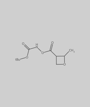 CC1OCC1C(=O)ONC(=O)OC(C)(C)C